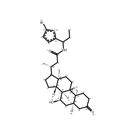 CCC(NC(=O)C[C@@H](C)C1CC[C@H]2[C@@H]3[C@H](O)C[C@@H]4CC(=O)CC[C@]4(C)[C@H]3CC[C@]12C)c1ccc(Br)s1